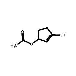 CC(=O)OC1C=C(O)CC1